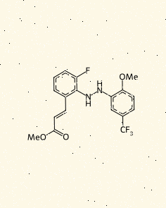 COC(=O)/C=C/c1cccc(F)c1NNc1cc(C(F)(F)F)ccc1OC